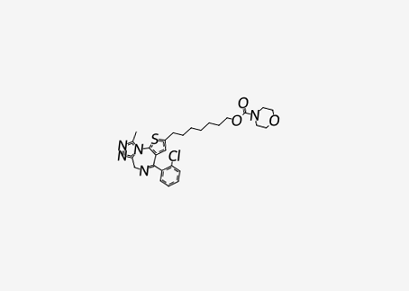 Cc1nnc2n1-c1sc(CCCCCCCOC(=O)N3CCOCC3)cc1C(c1ccccc1Cl)=NC2